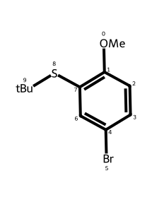 COc1ccc(Br)cc1SC(C)(C)C